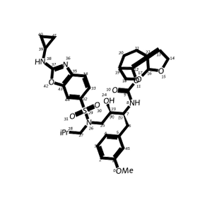 COc1cccc(C[C@H](NC(=O)OC2=C3COC4OCC2CCC34)[C@H](O)CN(CC(C)C)S(=O)(=O)c2ccc3nc(NC4CC4)oc3c2)c1